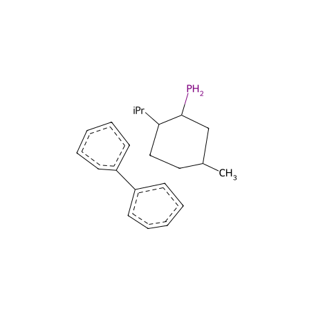 CC1CCC(C(C)C)C(P)C1.c1ccc(-c2ccccc2)cc1